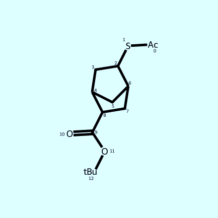 CC(=O)SC1CC2CC1CC2C(=O)OC(C)(C)C